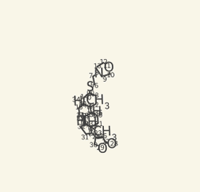 C[C@]12CC[C@H](SCCN3CCOCC3)C[C@H]1CC[C@@H]1[C@@H]2CC[C@]2(C)[C@@H](C3=CC(=O)OC3)CC[C@@H]12